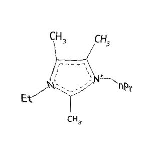 CCC[n+]1c(C)c(C)n(CC)c1C